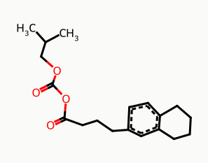 CC(C)COC(=O)OC(=O)CCCc1ccc2c(c1)CCCC2